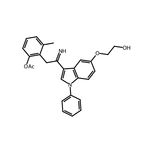 CC(=O)Oc1cccc(C)c1CC(=N)c1cn(-c2ccccc2)c2ccc(OCCO)cc12